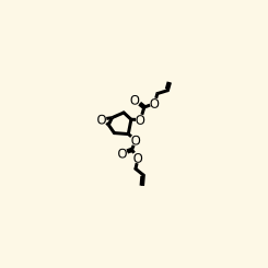 C=CCOC(=O)OC1CC2OC2CC1OC(=O)OCC=C